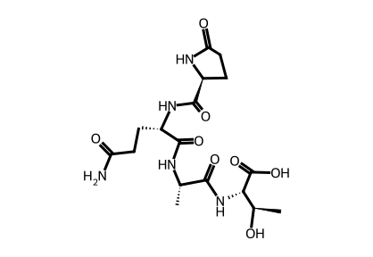 C[C@H](NC(=O)[C@H](CCC(N)=O)NC(=O)[C@@H]1CCC(=O)N1)C(=O)N[C@H](C(=O)O)[C@@H](C)O